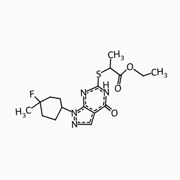 CCOC(=O)C(C)Sc1nc2c(cnn2C2CCC(C)(F)CC2)c(=O)[nH]1